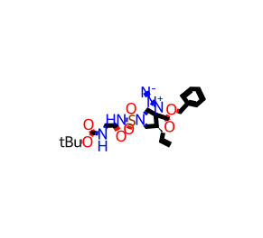 C=CC[C@@H]1CN(S(=O)(=O)NC(=O)CNC(=O)OC(C)(C)C)C[C@]1(N=[N+]=[N-])C(=O)OCc1ccccc1